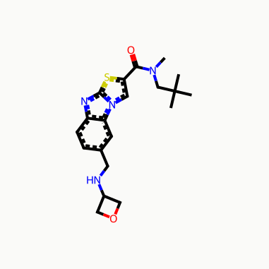 CN(CC(C)(C)C)C(=O)c1cn2c(nc3ccc(CNC4COC4)cc32)s1